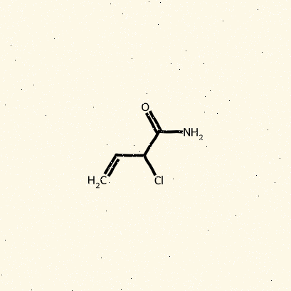 C=CC(Cl)C(N)=O